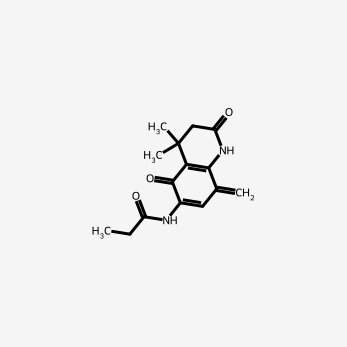 C=C1C=C(NC(=O)CC)C(=O)C2=C1NC(=O)CC2(C)C